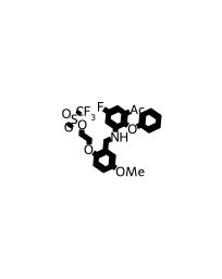 COc1ccc(OCCOS(=O)(=O)C(F)(F)F)c(CNc2cc(F)cc(C(C)=O)c2Oc2ccccc2)c1